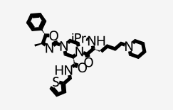 CC(C)N[C@H](CCCCN1CCCCC1)C(=O)N1CCN(C2=N[C@@H](C)[C@H](c3ccccc3)O2)C[C@H]1C(=O)NCc1cccs1